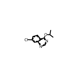 CC(C)Oc1ncnc2cc(Cl)ccc12